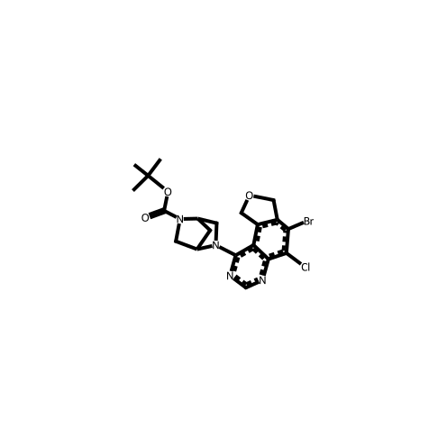 CC(C)(C)OC(=O)N1CC2CC1CN2c1ncnc2c(Cl)c(Br)c3c(c12)COC3